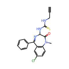 C#CCNC(=S)NC1N=C(c2ccccc2)c2cc(Cl)ccc2N(C)C1=O